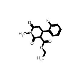 CCOC(=O)C1C(=O)N(C)C(=O)CC1c1ccccc1F